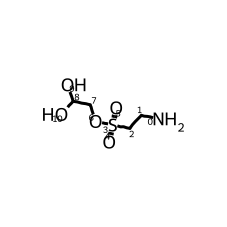 NCCS(=O)(=O)OCC(O)O